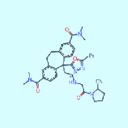 CC(C)c1nnc(C2(C[C@H](C)NCC(=O)N3CCCC3C#N)c3ccc(C(=O)N(C)C)cc3CCc3cc(C(=O)N(C)C)ccc32)o1